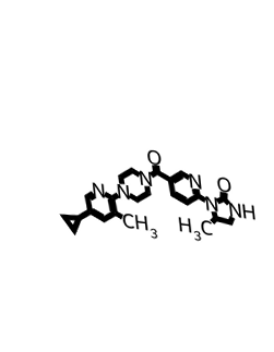 Cc1cc(C2CC2)cnc1N1CCN(C(=O)c2ccc(N3C(=O)NCC3C)nc2)CC1